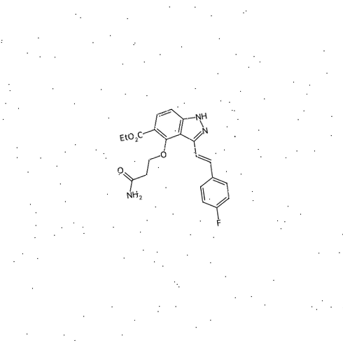 CCOC(=O)c1ccc2[nH]nc(/C=C/c3ccc(F)cc3)c2c1OCCC(N)=O